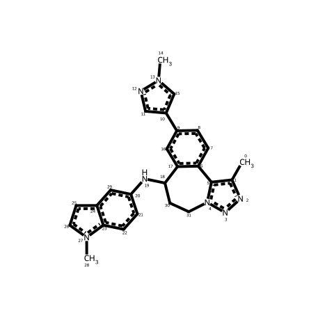 Cc1nnn2c1-c1ccc(-c3cnn(C)c3)cc1C(Nc1ccc3c(ccn3C)c1)CC2